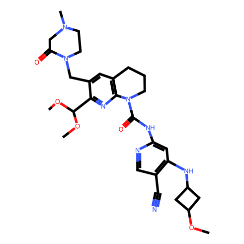 COC1CC(Nc2cc(NC(=O)N3CCCc4cc(CN5CCN(C)CC5=O)c(C(OC)OC)nc43)ncc2C#N)C1